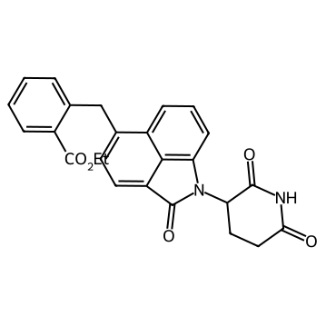 CCOC(=O)c1ccccc1Cc1ccc2c3c(cccc13)N(C1CCC(=O)NC1=O)C2=O